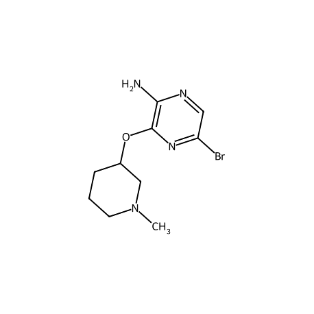 CN1CCCC(Oc2nc(Br)cnc2N)C1